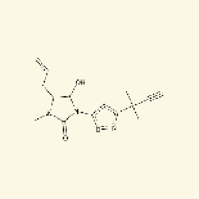 C#CC(C)(C)c1cc(N2C(=O)N(C)C(CC=C)C2O)on1